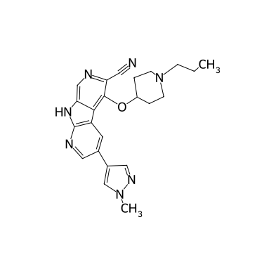 CCCN1CCC(Oc2c(C#N)ncc3[nH]c4ncc(-c5cnn(C)c5)cc4c23)CC1